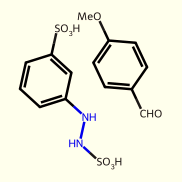 COc1ccc(C=O)cc1.O=S(=O)(O)NNc1cccc(S(=O)(=O)O)c1